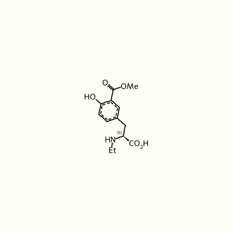 CCN[C@@H](Cc1ccc(O)c(C(=O)OC)c1)C(=O)O